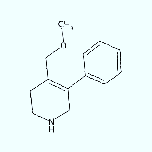 COCC1=C(c2ccccc2)CNCC1